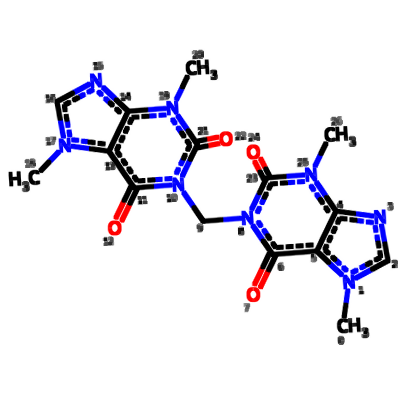 Cn1cnc2c1c(=O)n(Cn1c(=O)c3c(ncn3C)n(C)c1=O)c(=O)n2C